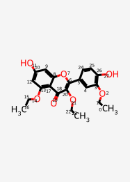 CCOc1cc(-c2oc3cc(O)cc(OCC)c3c(=O)c2OCC)ccc1O